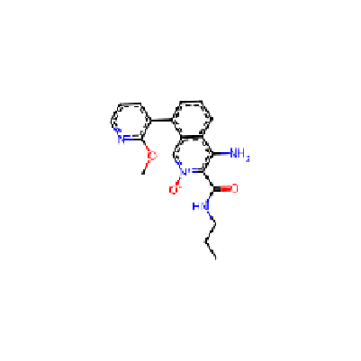 CCCNC(=O)c1c(N)c2cccc(-c3cccnc3OC)c2c[n+]1[O-]